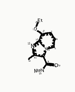 CCOc1cccn2c(C(=O)NC)c(C)nc12